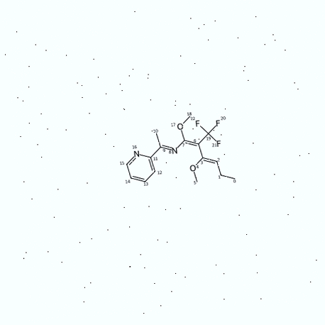 CC/C=C(OC)/C(=C(\N=C(/C)c1ccccn1)OC)C(F)(F)F